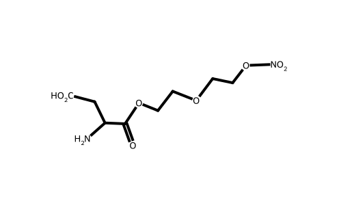 NC(CC(=O)O)C(=O)OCCOCCO[N+](=O)[O-]